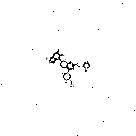 Cc1cc2[nH]ncc2c(C2CCc3c(nc(OC[C@@H]4CCCN4C)nc3N3CCN[C@@H](CC#N)C3)O2)c1Cl